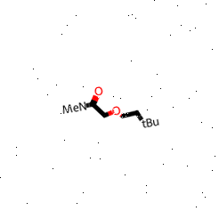 CNC(=O)COCCC(C)(C)C